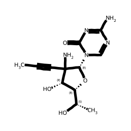 CC#CC1(N)[C@@H](O)[C@@H]([C@H](C)O)O[C@H]1n1cnc(N)nc1=O